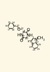 Cn1cc(C[C@H]2NC(=O)[C@@H](COCc3ccccc3)NC2=O)c2ccccc21